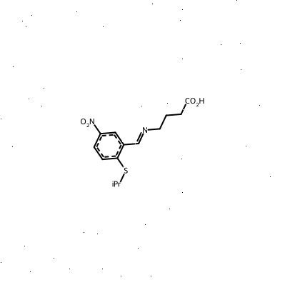 CC(C)Sc1ccc([N+](=O)[O-])cc1C=NCCCC(=O)O